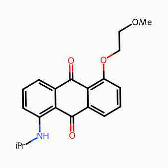 COCCOc1cccc2c1C(=O)c1cccc(NC(C)C)c1C2=O